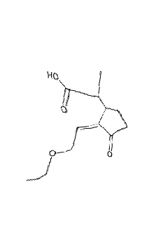 CCOCC=C1C(=O)CCC1C(C)C(=O)O